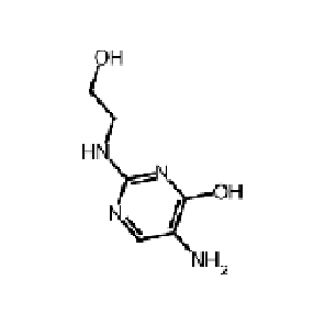 Nc1cnc(NCCO)nc1O